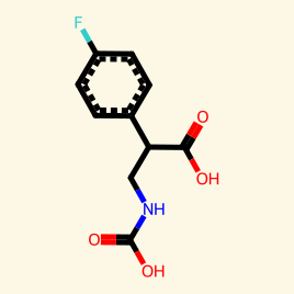 O=C(O)NCC(C(=O)O)c1ccc(F)cc1